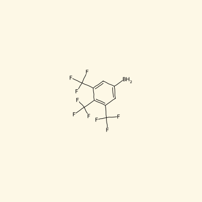 Bc1cc(C(F)(F)F)c(C(F)(F)F)c(C(F)(F)F)c1